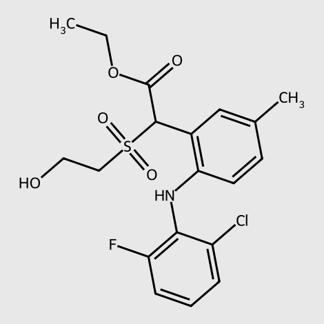 CCOC(=O)C(c1cc(C)ccc1Nc1c(F)cccc1Cl)S(=O)(=O)CCO